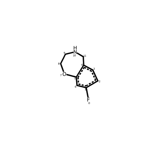 Fc1ccc2c(c1)OCCNC2